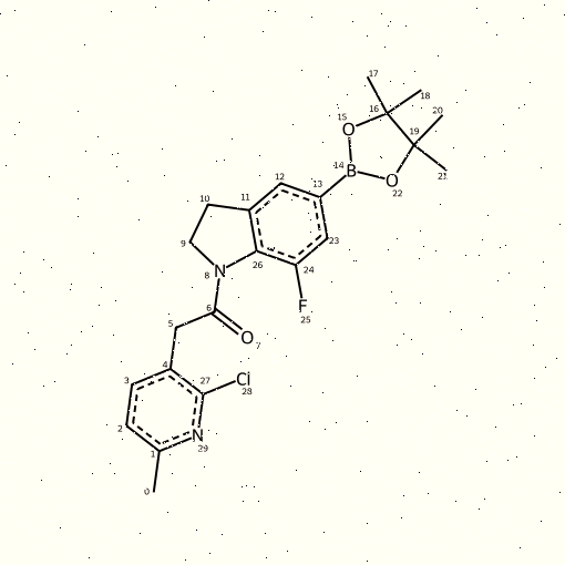 Cc1ccc(CC(=O)N2CCc3cc(B4OC(C)(C)C(C)(C)O4)cc(F)c32)c(Cl)n1